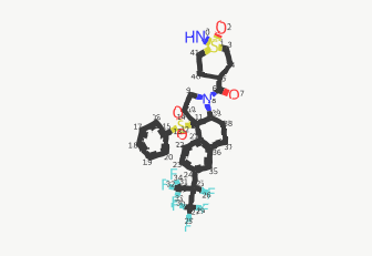 N=S1(=O)CCC(C(=O)N2CCC3(S(=O)(=O)c4ccccc4)c4ccc(C(F)(C(F)(F)F)C(F)(F)F)cc4CCC23)CC1